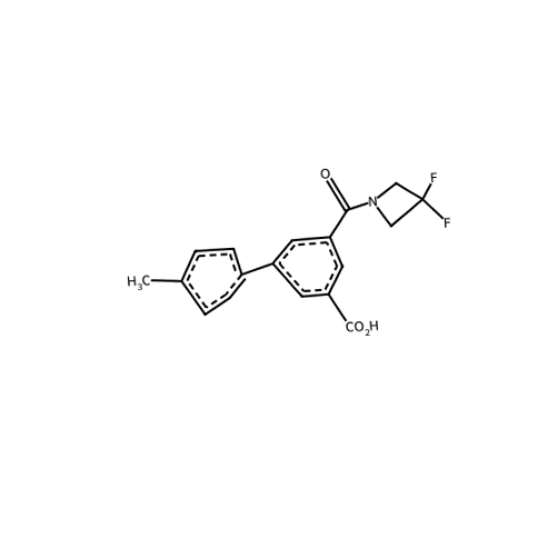 Cc1ccc(-c2cc(C(=O)O)cc(C(=O)N3CC(F)(F)C3)c2)cc1